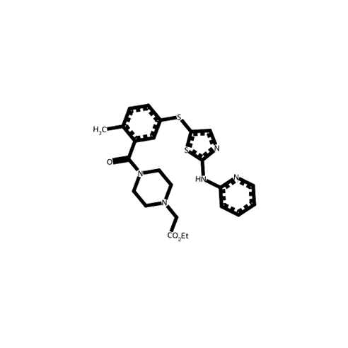 CCOC(=O)CN1CCN(C(=O)c2cc(Sc3cnc(Nc4ccccn4)s3)ccc2C)CC1